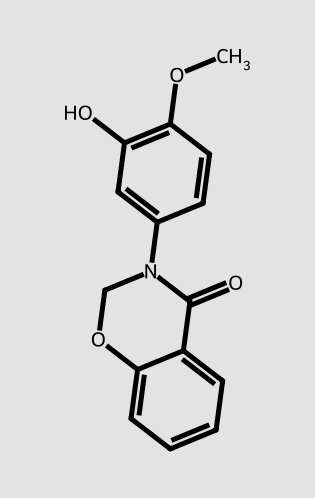 COc1ccc(N2COc3ccccc3C2=O)cc1O